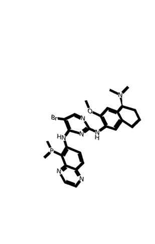 COc1cc2c(cc1Nc1ncc(Br)c(Nc3ccc4nccnc4c3P(C)C)n1)CCC[C@@H]2N(C)C